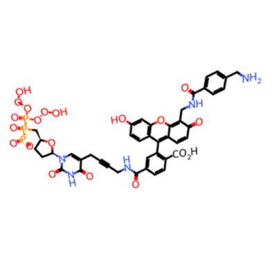 NCc1ccc(C(=O)NCc2c3oc4cc(O)ccc4c(-c4cc(C(=O)NCC#CCc5cn([C@H]6CC[C@@H](CP(=O)(P(=O)=O)P(=O)(OOO)OOO)O6)c(=O)[nH]c5=O)ccc4C(=O)O)c-3ccc2=O)cc1